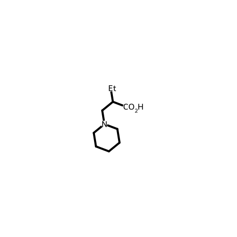 CCC(CN1CCCCC1)C(=O)O